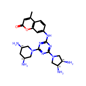 Cc1cc(=O)oc2cc(Nc3nc(N4C[C@H](N)C[C@H](N)C4)nc(N4C[C@@H](N)[C@@H](N)C4)n3)ccc12